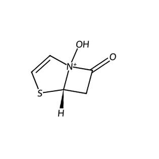 O=C1C[C@@H]2SC=C[N+]12O